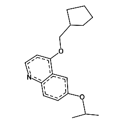 CC(C)Oc1ccc2nccc(OCC3CCCC3)c2c1